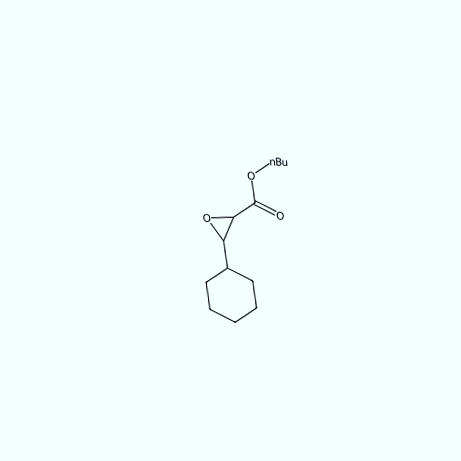 CCCCOC(=O)C1OC1C1CCCCC1